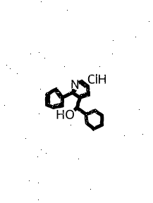 Cl.OC(c1cccnc1-c1ccccc1)C1CCCCC1